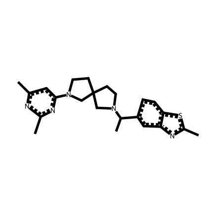 Cc1cc(N2CCC3(CCN(C(C)c4ccc5sc(C)nc5c4)C3)C2)nc(C)n1